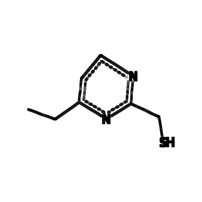 CCc1ccnc(CS)n1